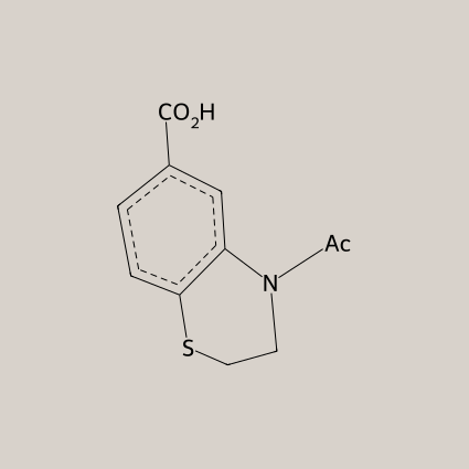 CC(=O)N1CCSc2ccc(C(=O)O)cc21